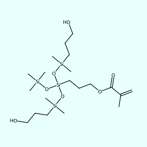 C=C(C)C(=O)OCCC[Si](O[Si](C)(C)C)(O[Si](C)(C)CCCO)O[Si](C)(C)CCCO